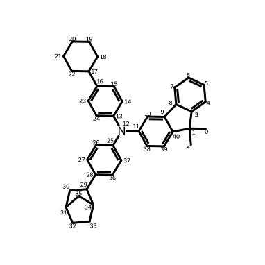 CC1(C)c2ccccc2-c2cc(N(c3ccc(C4CCCCC4)cc3)c3ccc(C4CC5CCC4C5)cc3)ccc21